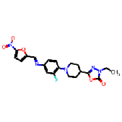 CCn1nc(C2CCN(c3ccc(N=Cc4ccc([N+](=O)[O-])o4)cc3F)CC2)oc1=O